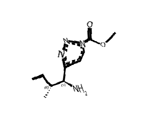 CC[C@@H](C)[C@H](N)c1cn(C(=O)OC)nn1